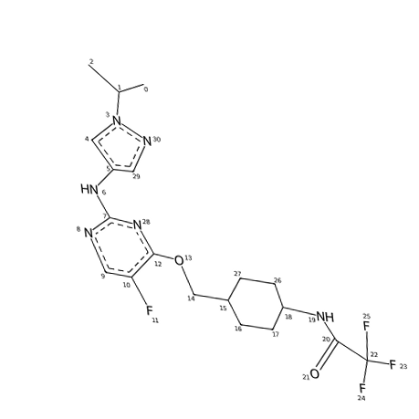 CC(C)n1cc(Nc2ncc(F)c(OCC3CCC(NC(=O)C(F)(F)F)CC3)n2)cn1